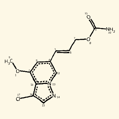 COc1cc(C=CCOC(N)=O)cn2ncc(Cl)c12